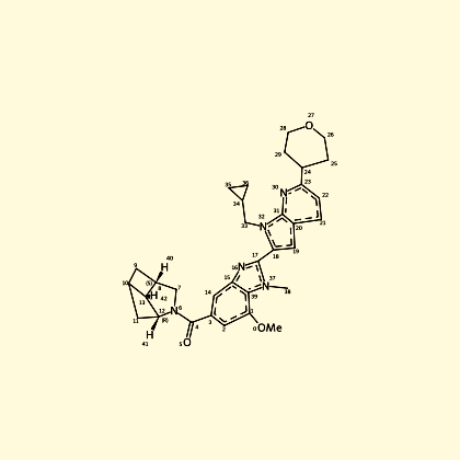 COc1cc(C(=O)N2C[C@H]3CC4C[C@@H]2[C@H]43)cc2nc(-c3cc4ccc(C5CCOCC5)nc4n3CC3CC3)n(C)c12